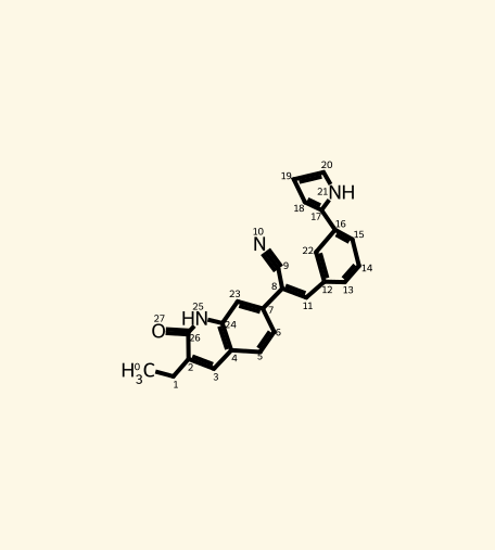 CCc1cc2ccc(/C(C#N)=C/c3cccc(-c4ccc[nH]4)c3)cc2[nH]c1=O